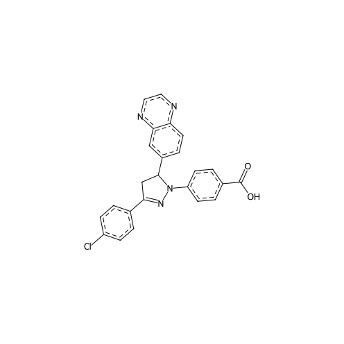 O=C(O)c1ccc(N2N=C(c3ccc(Cl)cc3)CC2c2ccc3nccnc3c2)cc1